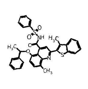 Cc1c(-c2cc(C(=O)NS(=O)(=O)c3ccccc3)c3c(OC(C)c4ccccc4)ccc(C)c3n2)sc2ccccc12